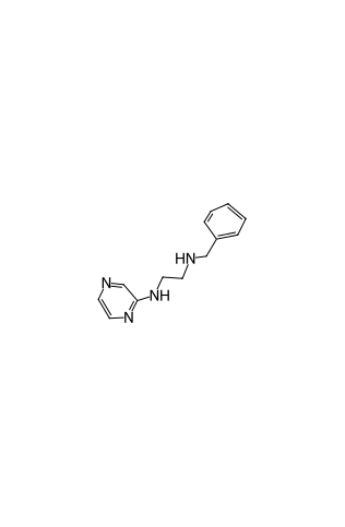 c1ccc(CNCCNc2cnccn2)cc1